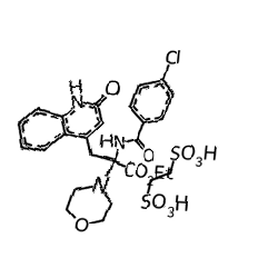 CCOC(=O)C(Cc1cc(=O)[nH]c2ccccc12)(NC(=O)c1ccc(Cl)cc1)N1CCOCC1.O=S(=O)(O)CCS(=O)(=O)O